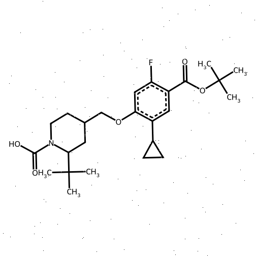 CC(C)(C)OC(=O)c1cc(C2CC2)c(OCC2CCN(C(=O)O)C(C(C)(C)C)C2)cc1F